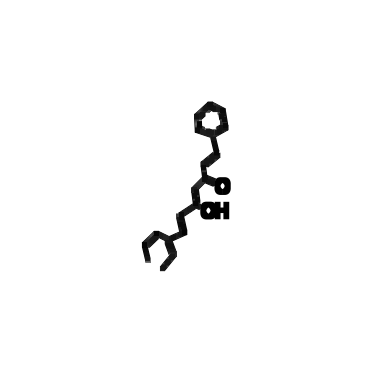 C\C=C/C(/C=C/C(O)=C/C(=O)/C=C/c1ccccc1)=C\C